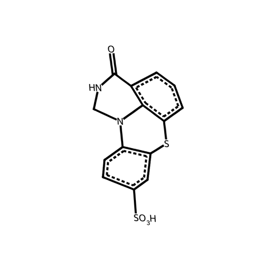 O=C1NCN2c3ccc(S(=O)(=O)O)cc3Sc3cccc1c32